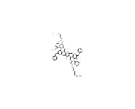 CCCCCCCCCCCCCCCCCCCCc1c(C)c(Cc2cc(Cc3ccccc3)c(O)c(Cc3ccccc3)c2)c(CCCCCCCCCCCCCCCCCCCC)c(C)c1Cc1cc(Cc2ccccc2)c(O)c(Cc2ccccc2)c1